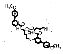 COC12CCC(c3cccc(C(=O)NC(CCCN)OBOC(CCCN)NC(=O)c4cccc(C56CCC(OC)(CC5)CC6)c4)c3)(CC1)CC2